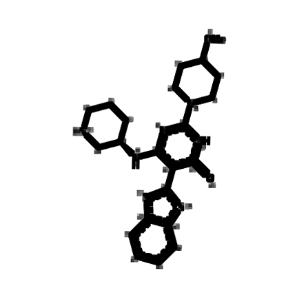 COC1CCN(c2nc(N[C@@H]3CCCNC3)c(-c3nc4ccccc4s3)c(=O)[nH]2)CC1